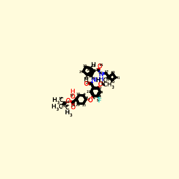 COc1cc(F)c(O[C@H]2CC[C@@](O)(C(=O)OC(C)(C)C)CC2)cc1C(=O)N[C@@H]1[C@H]2CC[C@H](C2)[C@@H]1C(=O)NCC1(C)CCC1